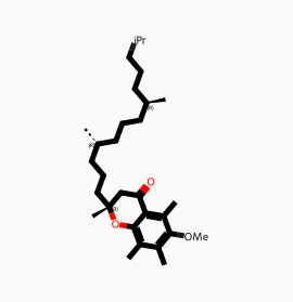 COc1c(C)c(C)c2c(c1C)C(=O)C[C@@](C)(CCC[C@H](C)CCC[C@H](C)CCCC(C)C)O2